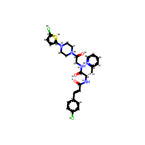 O=C(C=Cc1ccc(Cl)cc1)N[C@@H](Cc1ccccn1)C(=O)NCC(=O)N1CCN(c2ccc(Cl)s2)CC1